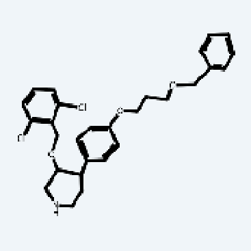 Clc1cccc(Cl)c1COC1CNCCC1c1ccc(OCCCOCc2ccccc2)cc1